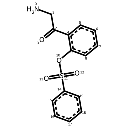 NCC(=O)c1ccccc1OS(=O)(=O)c1ccccc1